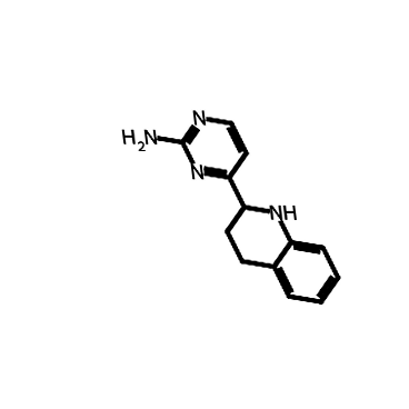 Nc1nccc(C2CCc3ccccc3N2)n1